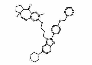 Cc1cc2c(cc1OCCCn1c(-c3ccc(OCc4ccccc4)cc3)nc3ccc(N4CCOCC4)cc31)N=C[C@@H]1CCCC1C2=O